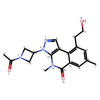 CC(=O)N1CC(n2ncc3c4c(CCO)cc(C)cc4c(=O)n(C)c32)C1